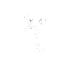 COc1ccccc1COCCCOc1ccc(C2CCN(C(=O)O)CC2OCC2N(CCOS(=O)(=O)c3ccc(C)cc3)c3ccccc3C2(C)C)cc1